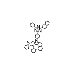 c1ccc(-c2nc(-c3ccc(-n4c5cc6sc7ccccc7c6c6c5c5c7c(cccc7ccc54)-c4ccccc4-6)cc3)nc(-c3ccc4ccccc4c3)n2)cc1